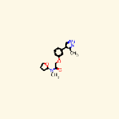 Cc1n[nH]cc1-c1c[c]cc(OCC(=O)N(C)[C@H]2CCCO2)c1